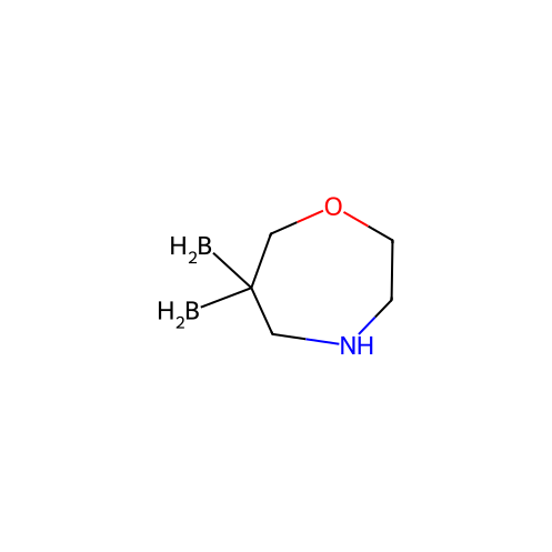 BC1(B)CNCCOC1